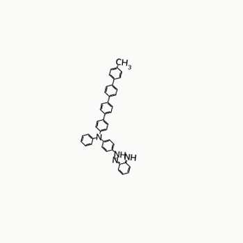 Cc1ccc(-c2ccc(-c3ccc(-c4ccc(N(c5ccccc5)c5ccc(N/N=C6/C=CC=CC6=N)cc5)cc4)cc3)cc2)cc1